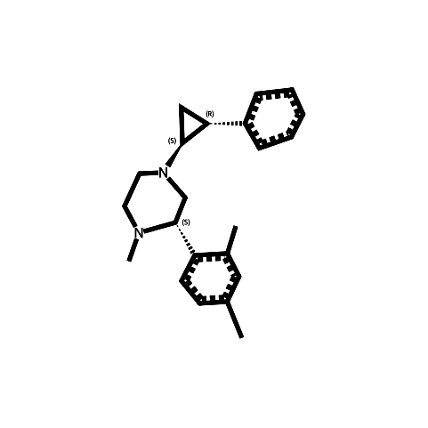 Cc1ccc([C@H]2CN([C@H]3C[C@@H]3c3ccccc3)CCN2C)c(C)c1